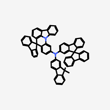 CC1(C)c2ccccc2-c2ccc(N(c3ccc4c(c3)-n3c5ccccc5c5cccc(c53)C43c4ccccc4-c4ccccc43)c3ccc4c(c3)C3(c5ccccc5-c5ccccc53)c3ccccc3-4)cc21